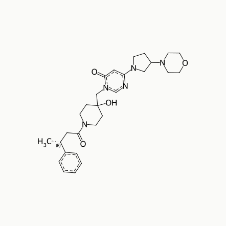 C[C@H](CC(=O)N1CCC(O)(Cn2cnc(N3CCC(N4CCOCC4)C3)cc2=O)CC1)c1ccccc1